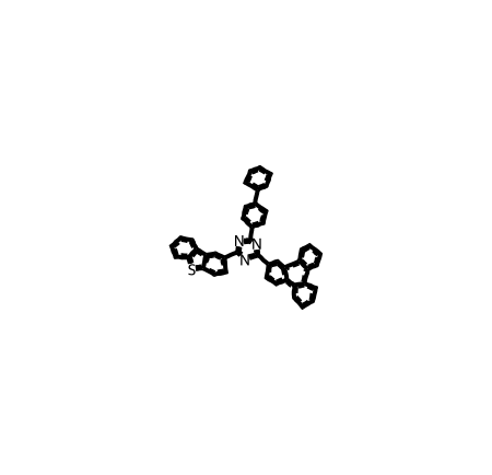 c1ccc(-c2ccc(-c3nc(-c4ccc5sc6ccccc6c5c4)nc(-c4ccc5c6ccccc6c6ccccc6c5c4)n3)cc2)cc1